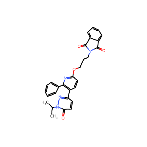 CC(C)n1nc(-c2ccc(OCCCN3C(=O)c4ccccc4C3=O)nc2-c2ccccc2)ccc1=O